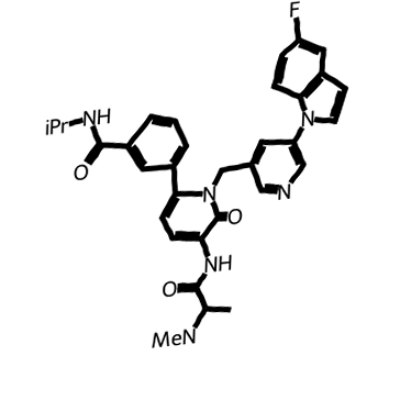 CNC(C)C(=O)Nc1ccc(-c2cccc(C(=O)NC(C)C)c2)n(Cc2cncc(-n3ccc4cc(F)ccc43)c2)c1=O